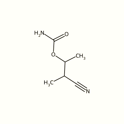 CC(C#N)C(C)OC(N)=O